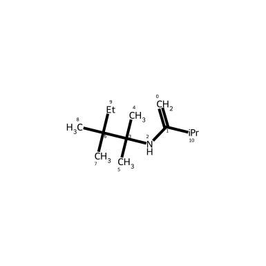 C=C(NC(C)(C)C(C)(C)CC)C(C)C